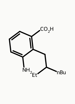 CCCCC(CC)Cc1c(N)cccc1C(=O)O